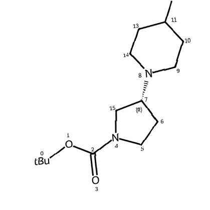 CC(C)(C)OC(=O)N1CC[C@@H](N2CCC(C#N)CC2)C1